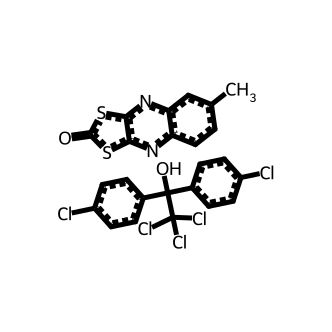 Cc1ccc2nc3sc(=O)sc3nc2c1.OC(c1ccc(Cl)cc1)(c1ccc(Cl)cc1)C(Cl)(Cl)Cl